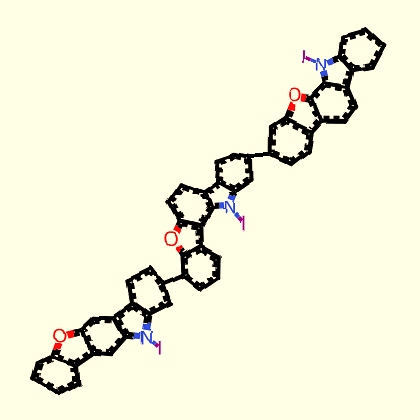 In1c2cc(-c3cccc4c3oc3ccc5c6ccc(-c7ccc8c(c7)oc7c8ccc8c9ccccc9n(I)c87)cc6n(I)c5c34)ccc2c2cc3oc4ccccc4c3cc21